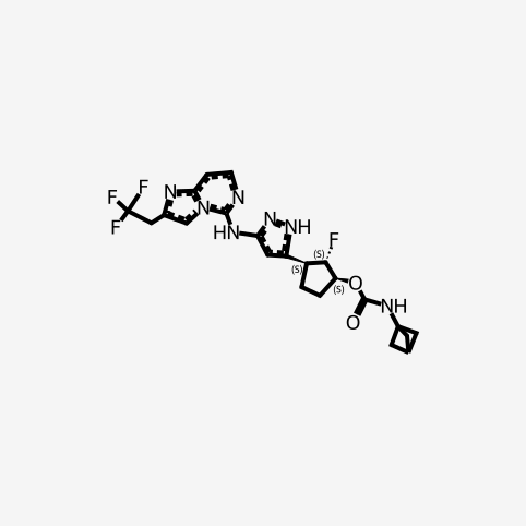 O=C(NC12CC(C1)C2)O[C@H]1CC[C@@H](c2cc(Nc3nccc4nc(CC(F)(F)F)cn34)n[nH]2)[C@@H]1F